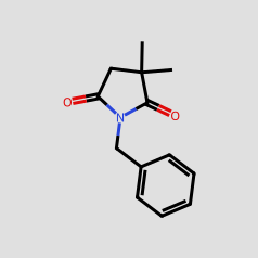 CC1(C)CC(=O)N(Cc2ccccc2)C1=O